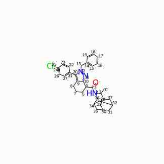 CC(NC(=O)C1CCCc2c1nn(Cc1ccccc1)c2-c1ccc(Cl)cc1)C12CC3CC(CC(C3)C1)C2